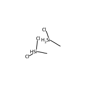 C[SiH2]Cl.C[SiH](Cl)Cl